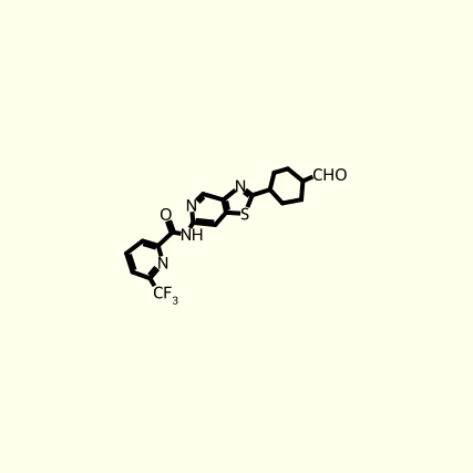 O=CC1CCC(c2nc3cnc(NC(=O)c4cccc(C(F)(F)F)n4)cc3s2)CC1